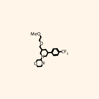 COCCOCC1CC(c2ccc(C(F)(F)F)cc2)CN(C2COCC[N]2)C1